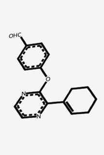 O=Cc1ccc(Oc2nccnc2C2=CCCCC2)cc1